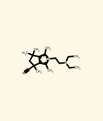 CCN(CC)CCn1c(C)c2c(c1C)C(C)(C#N)CC2(C)C